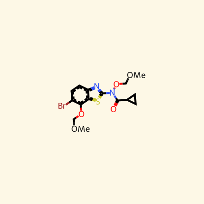 COCOc1c(Br)ccc2nc(N(OCOC)C(=O)C3CC3)sc12